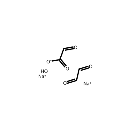 O=CC(=O)[O-].O=CC=O.[Na+].[Na+].[OH-]